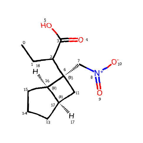 CCC(C(=O)O)[C@@]1(C[N+](=O)[O-])C[C@H]2CCC[C@H]21